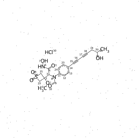 COC1(C(C(=O)NO)N(C=O)c2ccc(C#CC#CCC(C)O)cc2)CS(=O)(=O)C1.Cl